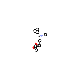 C1=Cc2cc(C3C=C(C4C=CC(c5ccc6c(c5)C5(c7ccccc7O6)c6ccccc6-c6ccccc65)=CC4)N4C(c5ccccc5)[N@@]34)cc3cccc(c23)C1